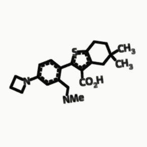 CNCc1cc(N2CCC2)ccc1-c1sc2c(c1C(=O)O)CC(C)(C)CC2